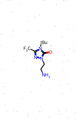 CC(C)(C)n1c(C(F)(F)F)nn(CCN)c1=O